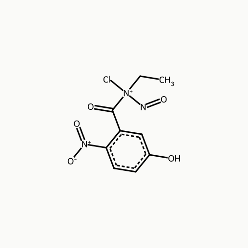 CC[N+](Cl)(N=O)C(=O)c1cc(O)ccc1[N+](=O)[O-]